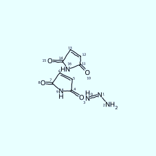 N=NN.O=C1C=CC(=O)N1.O=C1C=CC(=O)N1